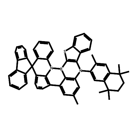 Cc1cc2c3c(c1)N(c1cc4c(cc1C)C(C)(C)CCC4(C)C)c1c(sc4ccccc14)B3N1c3ccccc3C3(c4ccccc4-c4ccccc43)c3cccc-2c31